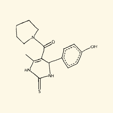 CC1=C(C(=O)N2CCCCC2)C(c2ccc(O)cc2)NC(=S)N1